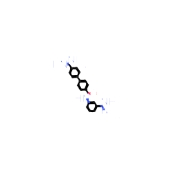 N=C(N)c1ccc(-c2ccc(C(=O)Nc3cccc(C(=N)N)c3)cc2)cc1